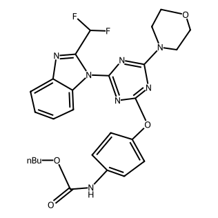 CCCCOC(=O)Nc1ccc(Oc2nc(N3CCOCC3)nc(-n3c(C(F)F)nc4ccccc43)n2)cc1